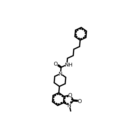 Cn1c(=O)oc2c(C3CCN(C(=O)NCCCCc4ccccc4)CC3)cccc21